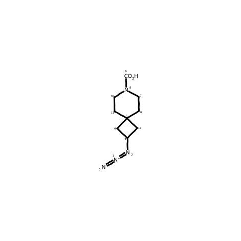 [N-]=[N+]=NC1CC2(CCN(C(=O)O)CC2)C1